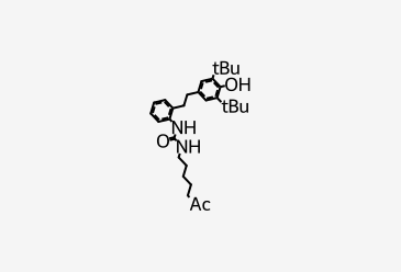 CC(=O)CCCCCNC(=O)Nc1ccccc1CCc1cc(C(C)(C)C)c(O)c(C(C)(C)C)c1